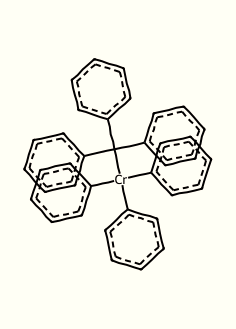 c1ccc([C](c2ccccc2)(c2ccccc2)[Cr]([c]2ccccc2)([c]2ccccc2)[c]2ccccc2)cc1